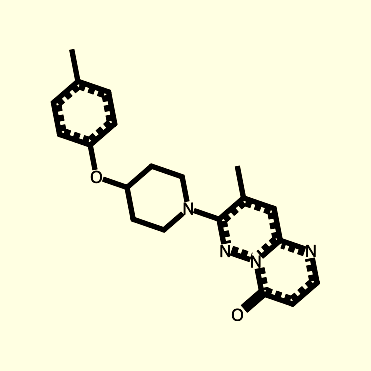 Cc1ccc(OC2CCN(c3nn4c(=O)ccnc4cc3C)CC2)cc1